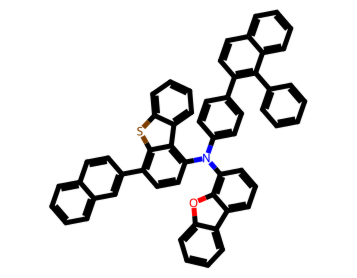 c1ccc(-c2c(-c3ccc(N(c4cccc5c4oc4ccccc45)c4ccc(-c5ccc6ccccc6c5)c5sc6ccccc6c45)cc3)ccc3ccccc23)cc1